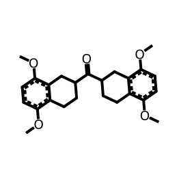 COc1ccc(OC)c2c1CCC(C(=O)C1CCc3c(OC)ccc(OC)c3C1)C2